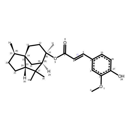 COc1cc(/C=C/C(=O)O[C@]2(C)CC[C@@]34C[C@@H]2C(C)(C)[C@@H]3CC[C@H]4C)ccc1O